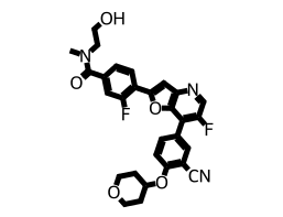 CN(CCO)C(=O)c1ccc(-c2cc3ncc(F)c(-c4ccc(OC5CCOCC5)c(C#N)c4)c3o2)c(F)c1